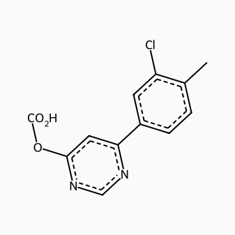 Cc1ccc(-c2cc(OC(=O)O)ncn2)cc1Cl